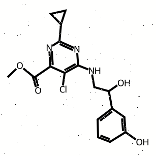 COC(=O)c1nc(C2CC2)nc(NCC(O)c2cccc(O)c2)c1Cl